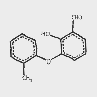 Cc1ccccc1Oc1cccc(C=O)c1O